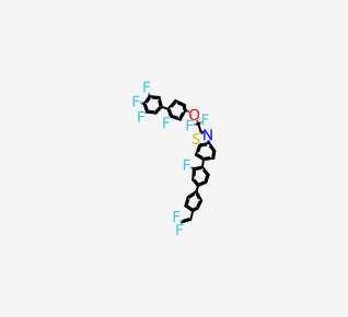 FC(F)=Cc1ccc(-c2ccc(-c3ccc4nc(C(F)(F)Oc5ccc(-c6cc(F)c(F)c(F)c6)c(F)c5)sc4c3)c(F)c2)cc1